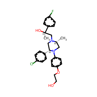 C[C@@H]1CN(c2ccc(OCCO)cc2)[C@H](c2ccc(Cl)cc2)CN1C[C@@](C)(O)c1ccc(F)cc1